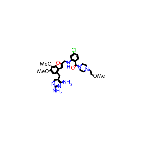 COCCN1CCN(C(=O)c2ccc(Cl)cc2NCc2cc3c(Cc4cnc(N)nc4N)cc(OC)c(OC)c3o2)CC1